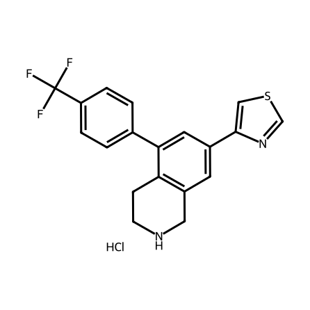 Cl.FC(F)(F)c1ccc(-c2cc(-c3cscn3)cc3c2CCNC3)cc1